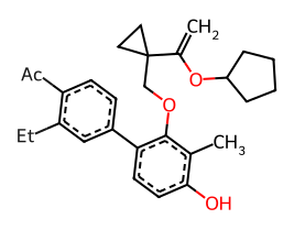 C=C(OC1CCCC1)C1(COc2c(-c3ccc(C(C)=O)c(CC)c3)ccc(O)c2C)CC1